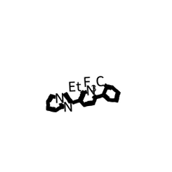 CCc1nc(-c2ccccc2C(F)(F)F)ccc1-c1cn2ccccc2n1